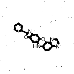 c1ccc(-c2nc3cc4c(cc3o2)Nc2ccc3nccnc3c2O4)cc1